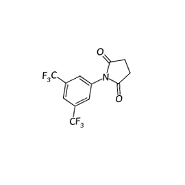 O=C1CCC(=O)N1c1cc(C(F)(F)F)cc(C(F)(F)F)c1